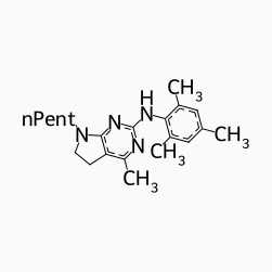 CCCCCN1CCc2c(C)nc(Nc3c(C)cc(C)cc3C)nc21